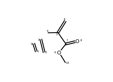 C=C.C=C.C=C(C)C(=O)OC